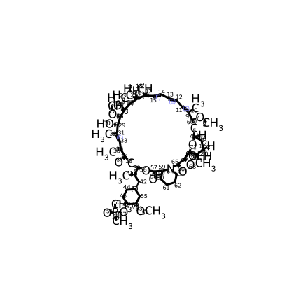 [2H]C1([2H])C[C@H]2C[C@H](OC)/C(C)=C/C=C/C=C/[C@@]([2H])(C)C([2H])(C)[C@@H](C)C(=O)[C@H](OC)[C@H](O)/C(C)=C/[C@@H](C)C(=O)C[C@@H]([C@H](C)C[C@@H]3CC[C@@H](OP(C)(C)=O)[C@H](OC)C3)OC(=O)[C@@H]3CCCCN3C(=O)C(=O)[C@](O)(O2)[C@@H]1C